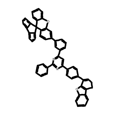 C1=C(c2ccc(-c3cc(-c4cccc(-c5ccc6c(c5)Oc5ccccc5C65c6ccccc6-c6ccccc65)c4)nc(-c4ccccc4)n3)cc2)c2oc3ccccc3c2CC1